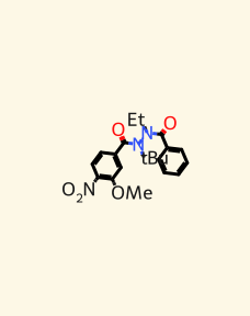 CCN(C(=O)c1ccccc1)N(C(=O)c1ccc([N+](=O)[O-])c(OC)c1)C(C)(C)C